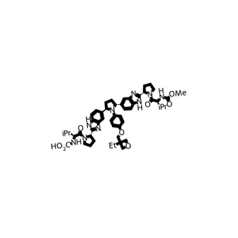 CCC1(COc2ccc(N3[C@@H](c4ccc5[nH]c([C@@H]6CCCN6C(=O)[C@@H](NC(=O)O)C(C)C)nc5c4)CC[C@@H]3c3ccc4[nH]c([C@@H]5CCCN5C(=O)[C@@H](NC(=O)OC)C(C)C)nc4c3)cc2)COC1